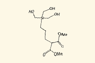 COC(=O)C(CCC[Si](CO)(CO)CO)C(=O)OC